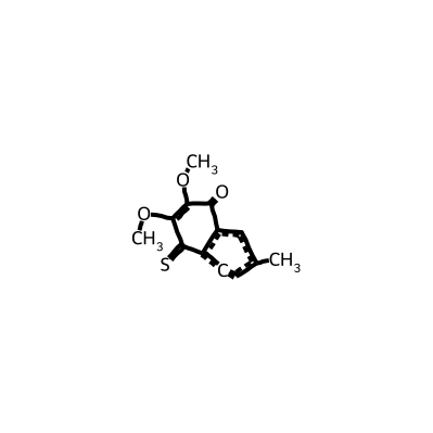 COC1=C(OC)C(=S)c2ccc(C)cc2C1=O